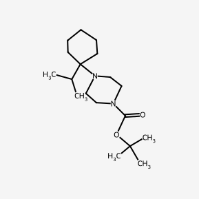 CC(C)C1(N2CCN(C(=O)OC(C)(C)C)CC2)CCCCC1